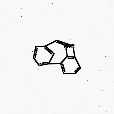 c1cc2cc(c1)-c1cccc3nc-2[nH]c13